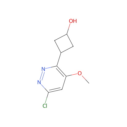 COc1cc(Cl)nnc1C1CC(O)C1